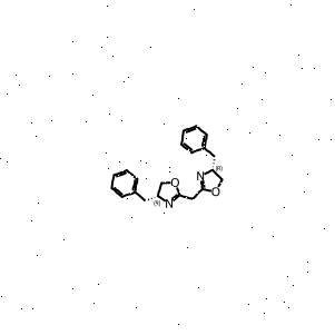 c1ccc(C[C@@H]2COC(CC3=N[C@H](Cc4ccccc4)CO3)=N2)cc1